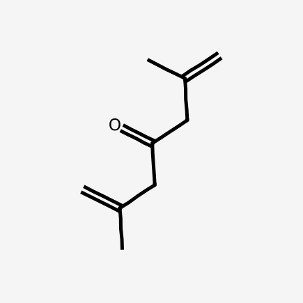 C=C(C)CC(=O)CC(=C)C